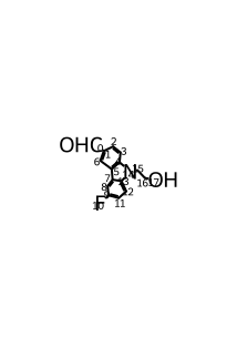 O=Cc1ccc2c(c1)c1cc(F)ccc1n2CCO